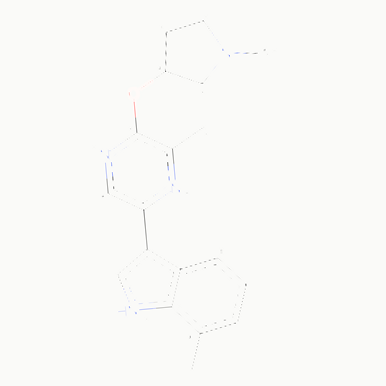 CC(=O)N1CCC(Oc2ncc(-c3c[nH]c4c(C)cccc34)nc2C)C1